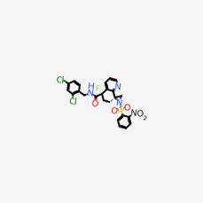 O=C(NCc1ccc(Cl)cc1Cl)[C@]1(F)CC[C@@]2(CN2S(=O)(=O)c2ccccc2[N+](=O)[O-])c2ncccc21